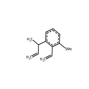 [CH2]C(C=C)c1cccc(SC)c1C=C